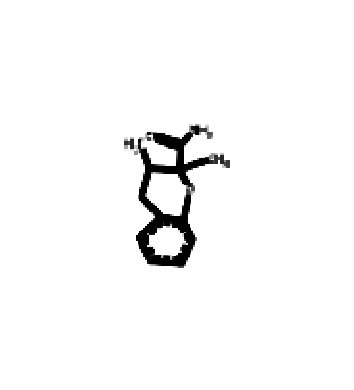 CC1Cc2ccccc2OC1(C)C(N)=O